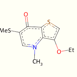 CCOc1csc2c(=O)c(SC)cn(C)c12